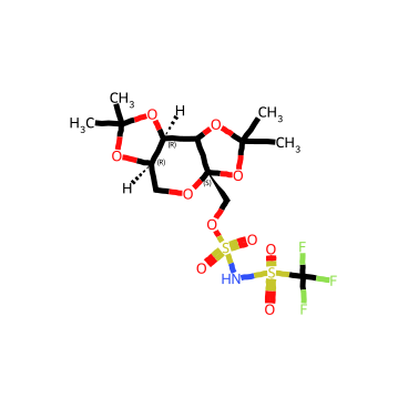 CC1(C)O[C@@H]2CO[C@@]3(COS(=O)(=O)NS(=O)(=O)C(F)(F)F)OC(C)(C)OC3[C@@H]2O1